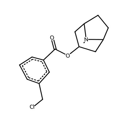 CN1C2CCC1CC(OC(=O)c1cccc(CCl)c1)C2